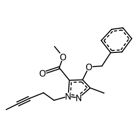 CC#CCCn1nc(C)c(OCc2ccccc2)c1C(=O)OC